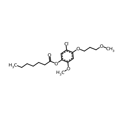 CCCCCCC(=O)Oc1cc(Cl)c(OCCCOC)cc1OC